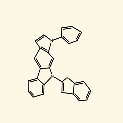 c1ccc(-n2ccc3cc4c5ccccc5n(-c5cc6ccccc6s5)c4cc32)cc1